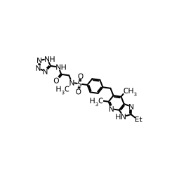 CCc1nc2c(C)c(Cc3ccc(S(=O)(=O)N(C)CC(=O)Nc4nnn[nH]4)cc3)c(C)nc2[nH]1